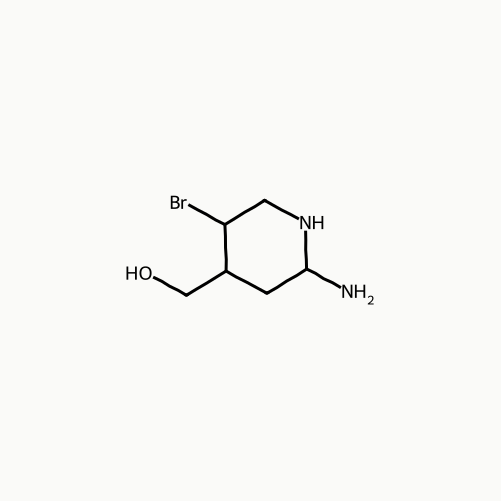 NC1CC(CO)C(Br)CN1